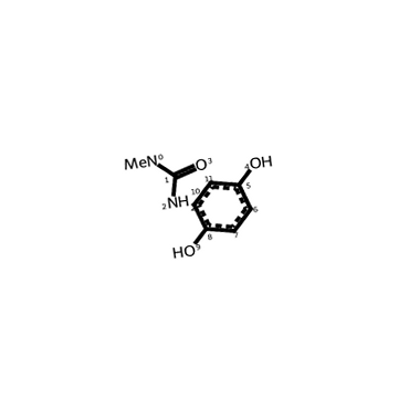 CNC(N)=O.Oc1ccc(O)cc1